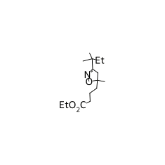 CCOC(=O)CCCC1(C)CC(C(C)(C)CC)=NO1